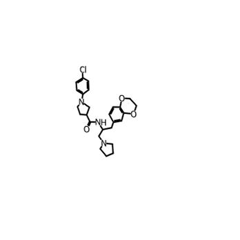 O=C(NC(Cc1ccc2c(c1)OCCO2)CN1CCCC1)C1CCN(c2ccc(Cl)cc2)C1